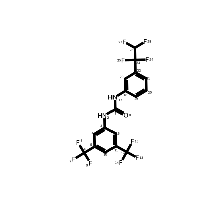 O=C(Nc1cc(C(F)(F)F)cc(C(F)(F)F)c1)Nc1cccc(C(F)(F)C(F)F)c1